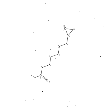 C[Si](=O)CCCCCCC1CO1